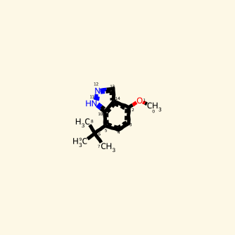 COc1ccc(C(C)(C)C)c2[nH]ncc12